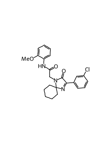 COc1ccccc1NC(=O)CN1C(=O)C(c2cccc(Cl)c2)=NC12CCCCC2